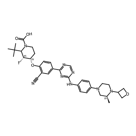 C[C@H]1CN(c2ccc(Nc3ncnc(-c4ccc(O[C@H]5CCN(C(=O)O)C(C(C)(C)C)[C@H]5F)c(C#N)c4)n3)cc2)CCN1C1COC1